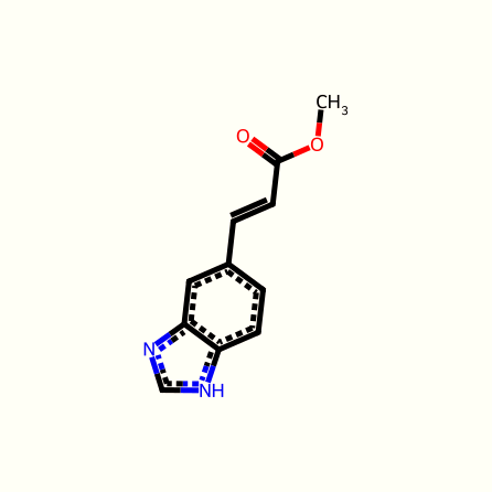 COC(=O)C=Cc1ccc2[nH]cnc2c1